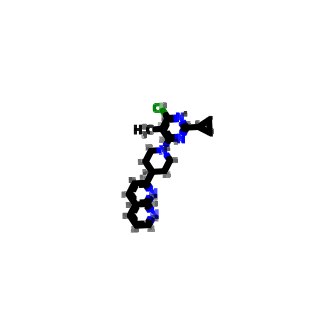 Cc1c(Cl)nc(C2CC2)nc1N1CCC(c2ccc3cccnc3n2)CC1